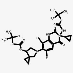 CC(C)(C)OC(=O)NC1CN(c2c(F)cc3c(c2Cl)NC(=O)[N+](NC(=O)OC(C)(C)C)(C2CC2)C3=O)CC12CC2